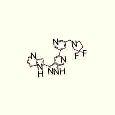 FC1(F)CCN(Cc2cncc(-c3cc4c(-c5cc6ncccc6[nH]5)n[nH]c4cn3)c2)C1